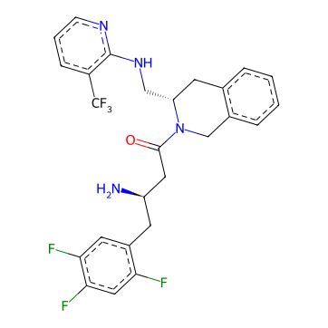 N[C@@H](CC(=O)N1Cc2ccccc2C[C@H]1CNc1ncccc1C(F)(F)F)Cc1cc(F)c(F)cc1F